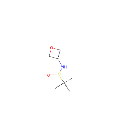 CC(C)(C)[S+]([O-])N[C]1COC1